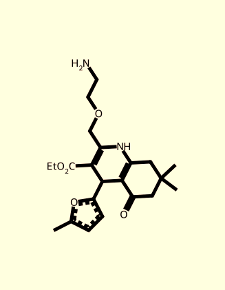 CCOC(=O)C1=C(COCCN)NC2=C(C(=O)CC(C)(C)C2)C1c1ccc(C)o1